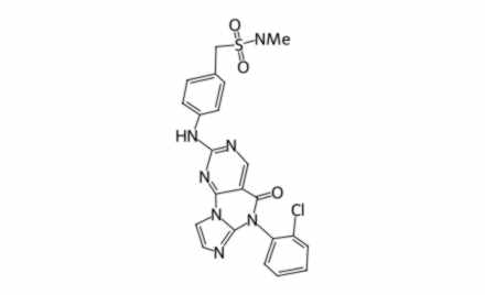 CNS(=O)(=O)Cc1ccc(Nc2ncc3c(=O)n(-c4ccccc4Cl)c4nccn4c3n2)cc1